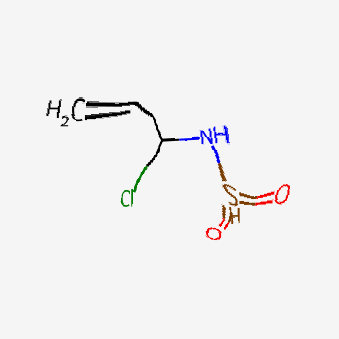 C=CC(Cl)N[SH](=O)=O